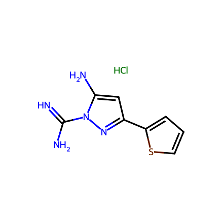 Cl.N=C(N)n1nc(-c2cccs2)cc1N